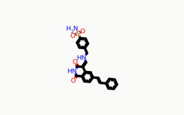 NS(=O)(=O)c1ccc(CNC=C2C(=O)NC(=O)c3ccc(C=Cc4ccccc4)cc32)cc1